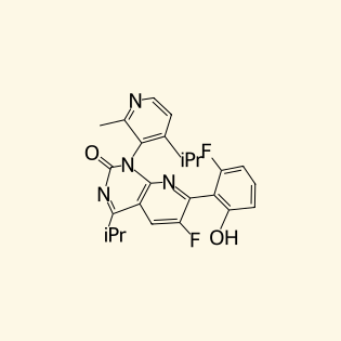 Cc1nccc(C(C)C)c1-n1c(=O)nc(C(C)C)c2cc(F)c(-c3c(O)cccc3F)nc21